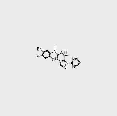 CC(NC(=O)Nc1cc(Br)c(F)cc1Cl)c1ncnn1-c1ncccn1